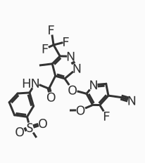 COc1c(Oc2nnc(C(F)(F)F)c(C)c2C(=O)Nc2cccc(S(C)(=O)=O)c2)ncc(C#N)c1F